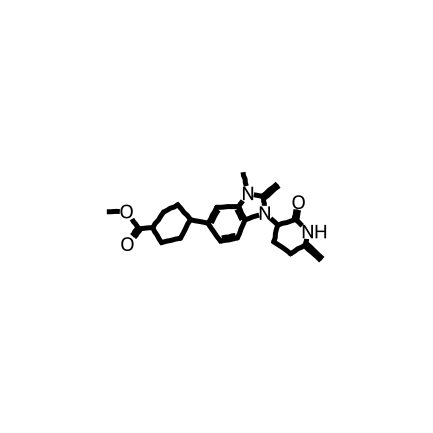 C=C1CCC(N2C(=C)N(C)c3cc(C4CCC(C(=O)OC)CC4)ccc32)C(=O)N1